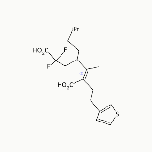 C/C(=C(\CCc1ccsc1)C(=O)O)C(CCC(C)C)CC(F)(F)C(=O)O